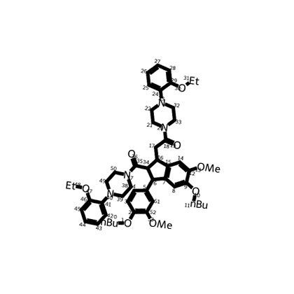 CCCCOc1ccc(C2c3cc(OCCCC)c(OC)cc3C(CC(=O)N3CCN(c4ccccc4OCC)CC3)C2C(=O)N2CCN(c3ccccc3OCC)CC2)cc1OC